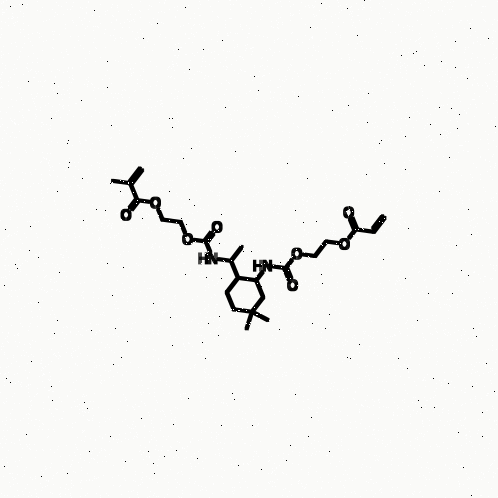 C=CC(=O)OCCOC(=O)NC1CC(C)(C)CCC1C(C)NC(=O)OCCOC(=O)C(=C)C